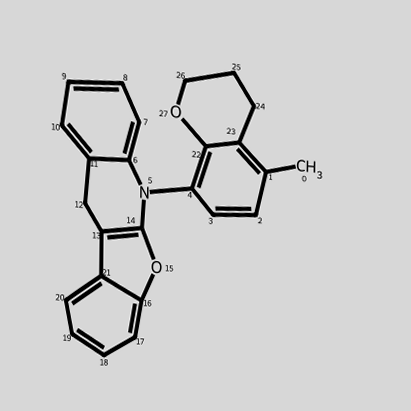 Cc1ccc(N2c3ccccc3Cc3c2oc2ccccc32)c2c1CCCO2